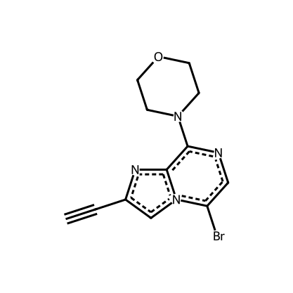 C#Cc1cn2c(Br)cnc(N3CCOCC3)c2n1